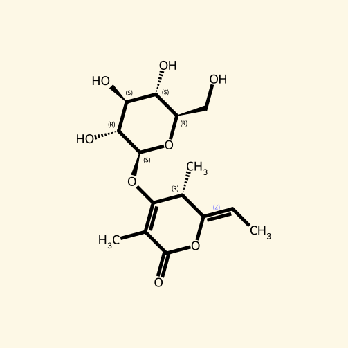 C/C=C1\OC(=O)C(C)=C(O[C@@H]2O[C@H](CO)[C@@H](O)[C@H](O)[C@H]2O)[C@@H]1C